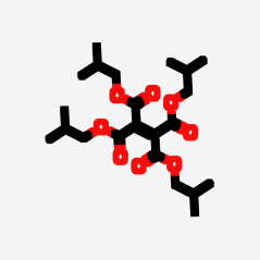 CC(C)COC(=O)C(C(=O)OCC(C)C)=C(C(=O)OCC(C)C)C(=O)OCC(C)C